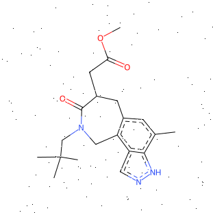 COC(=O)CC1Cc2cc(C)c3[nH]ncc3c2CN(CC(C)(C)C)C1=O